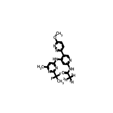 [2H]C([2H])([2H])C(=O)Nc1cc(Nc2cc(C)nc(C(C)(F)F)n2)c(-c2ccc(OC)nn2)cn1